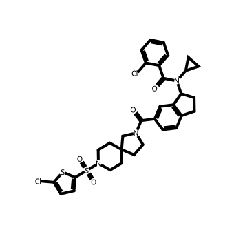 O=C(c1ccc2c(c1)C(N(C(=O)c1ccccc1Cl)C1CC1)CC2)N1CCC2(CCN(S(=O)(=O)c3ccc(Cl)s3)CC2)C1